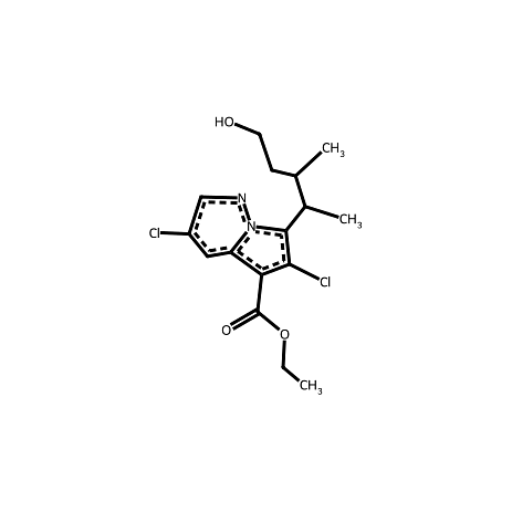 CCOC(=O)c1c(Cl)c(C(C)C(C)CCO)n2ncc(Cl)cc12